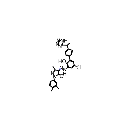 CC1=NN(c2ccc(C)c(C)c2)C(=O)/C1=N\Nc1cc(Cl)cc(-c2ccc(C(C)c3nnn[nH]3)cc2)c1O